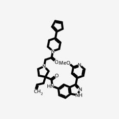 C=CCC1(C(=O)Nc2ccc3[nH]nc(-c4ccnc(OC)c4)c3c2)CCN(CC(=O)N2CC=C(C3=CC=CC3)CC2)C1